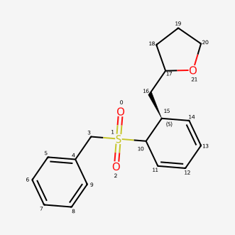 O=S(=O)(Cc1ccccc1)C1C=CC=C[C@@H]1CC1CCCO1